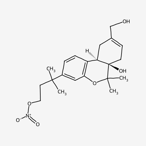 CC(C)(CCO[N+](=O)[O-])c1ccc2c(c1)OC(C)(C)[C@@]1(O)CC=C(CO)C[C@H]21